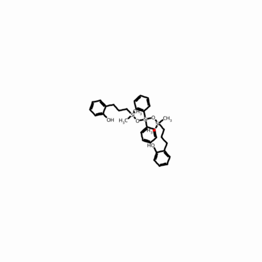 C[Si](C)(CCCc1ccccc1O)O[Si](O[Si](C)(C)CCCc1ccccc1O)(c1ccccc1)c1ccccc1